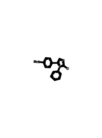 CSc1ccc(-c2cnc(Cl)n2-c2ccccc2)cc1